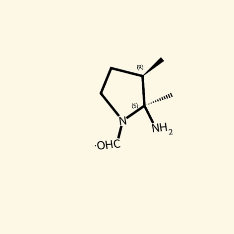 C[C@@H]1CCN([C]=O)[C@]1(C)N